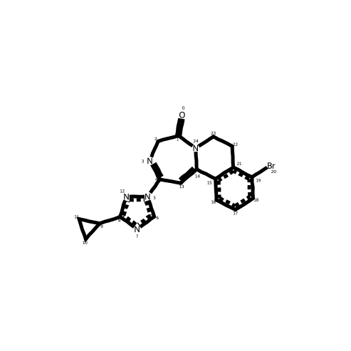 O=C1CN=C(n2cnc(C3CC3)n2)C=C2c3cccc(Br)c3CCN12